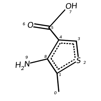 Cc1scc(C(=O)O)c1N